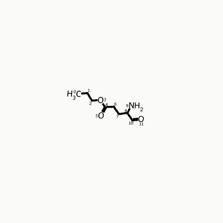 CCCOC(=O)CCC(N)C=O